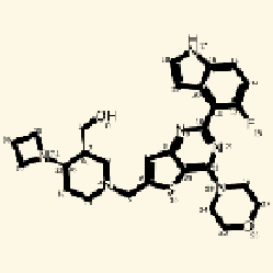 OC[C@H]1CN(Cc2cc3nc(-c4c(F)ccc5[nH]ccc45)nc(N4CCOCC4)c3s2)CC[C@H]1N1CCC1